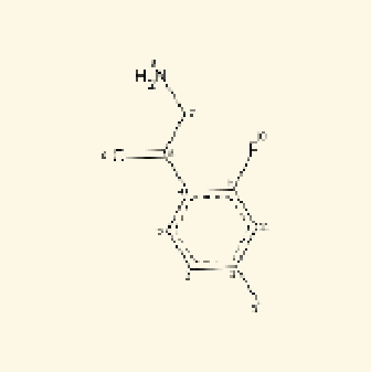 Cc1ccc(C(=O)CN)c(F)c1